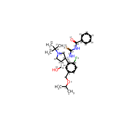 CC(C)OCc1ccc(F)c([C@]2(NC(=S)NC(=O)c3ccccc3)CN(C(C)(C)C)C[C@H]2CO)c1